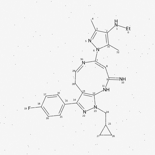 CCNc1c(C)nn(C2=C/C(=N)Nc3c(c(-c4ccc(F)cc4)nn3CC3CC3)C/C=N\2)c1C